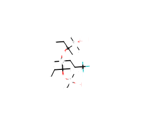 CCC(C)(O[Si](C)(CCC(F)(F)F)C(C)(CC)O[Si](C)(C)O)[Si](C)(C)O